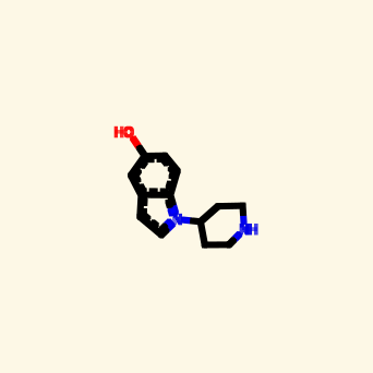 Oc1ccc2c(ccn2C2CCNCC2)c1